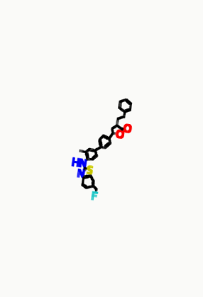 Cc1cc(-c2ccc(C3CC(CCc4ccccc4)C(=O)O3)cc2)ccc1Nc1nc2ccc(CF)cc2s1